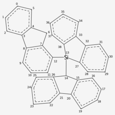 c1ccc2c(c1)Cc1c-2cccc1[Si]1(C2c3ccccc3-c3ccccc32)c2ccccc2-c2ccccc21